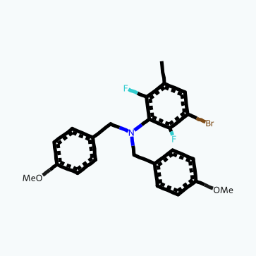 COc1ccc(CN(Cc2ccc(OC)cc2)c2c(F)c(C)cc(Br)c2F)cc1